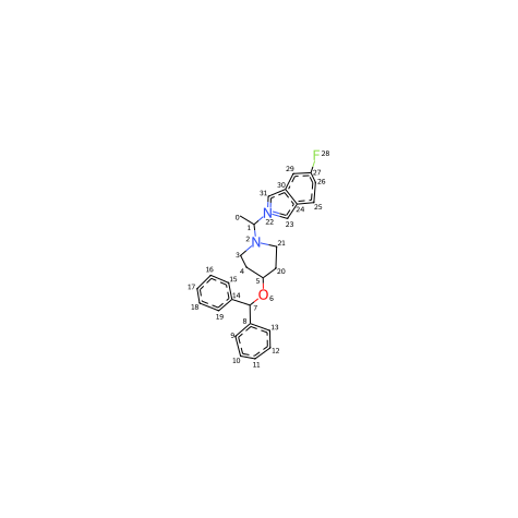 CC(N1CCC(OC(c2ccccc2)c2ccccc2)CC1)n1cc2ccc(F)cc2c1